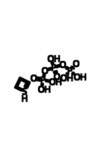 C1=[SH]CC1.O=P(O)(O)OP(=O)(O)OP(=O)(O)O